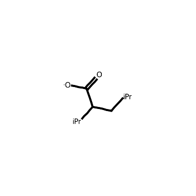 CC(C)CC(C([O])=O)C(C)C